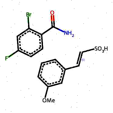 COc1cccc(/C=C/S(=O)(=O)O)c1.NC(=O)c1ccc(F)cc1Br